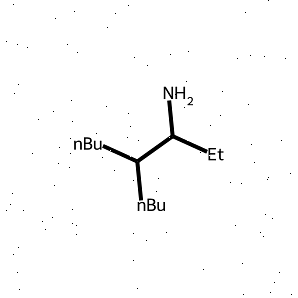 CCCCC(CCCC)C(N)CC